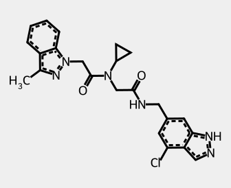 Cc1nn(CC(=O)N(CC(=O)NCc2cc(Cl)c3cn[nH]c3c2)C2CC2)c2ccccc12